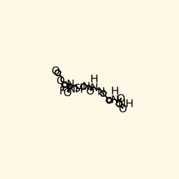 O=C(CN1CCC(SCc2nc3cc(OCC4CCOCC4)cc(F)c3c(=O)[nH]2)CC1)NCCN1CCC(c2cccc(NC3CCC(=O)NC3=O)c2)CC1